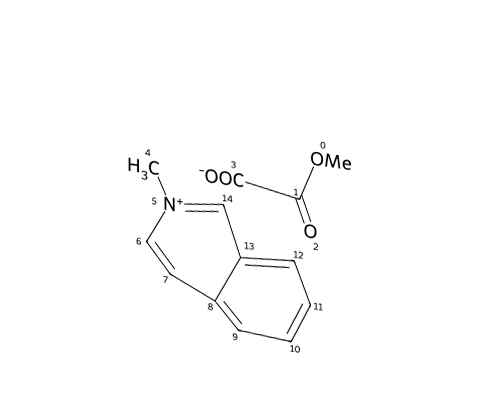 COC(=O)C(=O)[O-].C[n+]1ccc2ccccc2c1